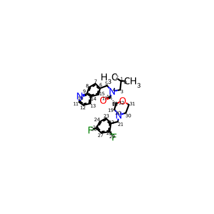 CC(C)CN(Cc1ccc2ncccc2c1)C(=O)[C@H]1CN(Cc2ccc(F)cc2F)CCO1